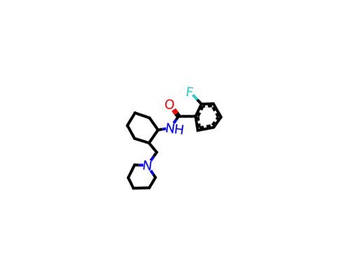 O=C(NC1CCCCC1CN1CCCCC1)c1ccccc1F